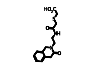 O=C(O)CSCC(=O)NCCN1Cc2ccccc2CC1=O